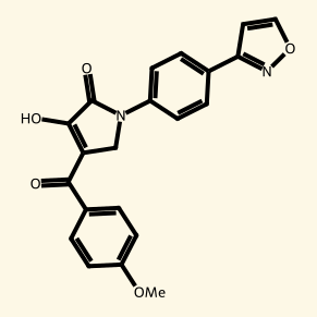 COc1ccc(C(=O)C2=C(O)C(=O)N(c3ccc(-c4ccon4)cc3)C2)cc1